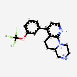 FC(F)(F)Oc1cccc(-c2ccnc3c2CCC2CNCCN32)c1